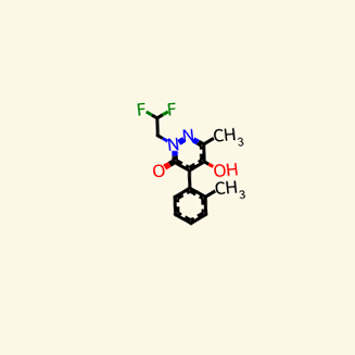 Cc1ccccc1-c1c(O)c(C)nn(CC(F)F)c1=O